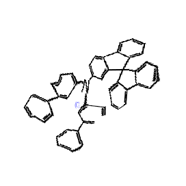 C=C/C(=C\C(=C)c1ccccc1)N(c1cccc(-c2ccccc2)c1)c1ccc2c(c1)C1(c3ccccc3-c3ccccc31)c1ccccc1-2